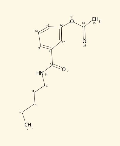 CCCCCNC(=O)c1cccc(OC(C)=O)c1